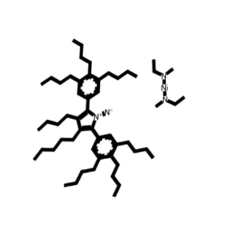 CCCCCC1=C(c2cc(CCCC)c(CCCC)c(CCCC)c2)[N+](=[N-])C(c2cc(CCCC)c(CCCC)c(CCCC)c2)=C1CCCC.CC[N](C)[Ni][N](C)CC